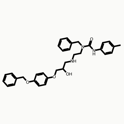 Cc1ccc(NC(=O)N(CCNCC(O)COc2ccc(OCc3ccccc3)cc2)Cc2ccccc2)cc1